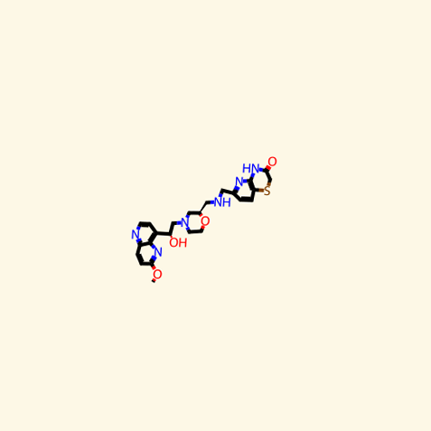 COc1ccc2nccc([C@@H](O)CN3CCO[C@H](CNCc4ccc5c(n4)NC(=O)CS5)C3)c2n1